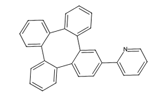 c1ccc(-c2ccc3c(c2)-c2ccccc2-c2ccccc2-c2ccccc2-3)nc1